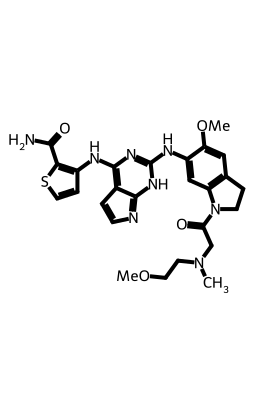 COCCN(C)CC(=O)N1CCc2cc(OC)c(Nc3nc(Nc4ccsc4C(N)=O)c4ccnc-4[nH]3)cc21